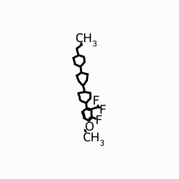 CCCC1CCC(C2CCC(C3CCC(c4ccc(OCC)c(F)c4C(F)F)CC3)CC2)CC1